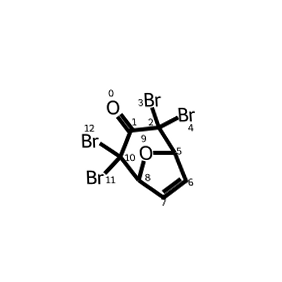 O=C1C(Br)(Br)C2C=CC(O2)C1(Br)Br